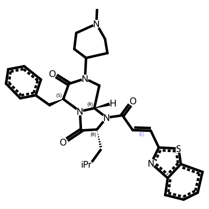 CC(C)C[C@@H]1C(=O)N2[C@H](CN(C3CCN(C)CC3)C(=O)[C@@H]2Cc2ccccc2)N1C(=O)/C=C/c1nc2ccccc2s1